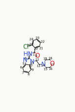 O=C(Nc1nc2ccccc2n1CCN1CCOCC1)c1ccccc1Cl